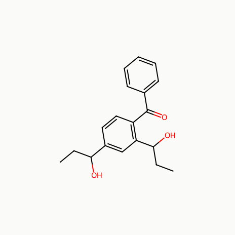 CCC(O)c1ccc(C(=O)c2ccccc2)c(C(O)CC)c1